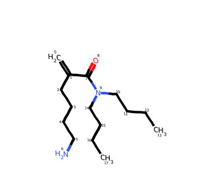 C=C(CCCCN)C(=O)N(CCCC)CCCC